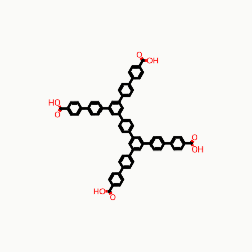 O=C(O)c1ccc(-c2ccc(-c3cc(-c4ccc(-c5ccc(C(=O)O)cc5)cc4)cc(-c4ccc(-c5cc(-c6ccc(-c7ccc(C(=O)O)cc7)cc6)cc(-c6ccc(-c7ccc(C(=O)O)cc7)cc6)c5)cc4)c3)cc2)cc1